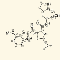 C#CC(CC1CCNC1=O)NC(=O)C1CC(C2CC2)CN1C(=O)c1cc2c(OC)cccc2[nH]1